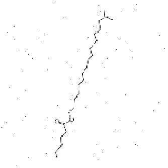 CCCCCC(=O)OCCCCCCCCCCCCCCCC(C)C